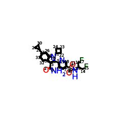 NC(=O)c1c(-c2ccc(S(=O)(=O)NC(CF)CF)cn2)n(C2CCC2)c2cc(C3CC3)ccc12